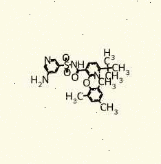 Cc1cc(C)c(Oc2nc(C(C)(C)C)ccc2C(=O)NS(=O)(=O)c2cncc(N)c2)c(C)c1